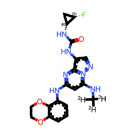 [2H]C([2H])([2H])Nc1cc(Nc2cccc3c2OCCO3)nc2c(NC(=O)N[C@@H]3C[C@@H]3F)cnn12